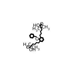 CC(C)(CCCCc1cccc(CCCCC(C)(C)C(=O)O)c1OCc1ccccc1)C(=O)O